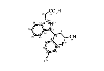 N#CCCC(c1ccc(Cl)cc1F)c1nn(CC(=O)O)c2ccccc12